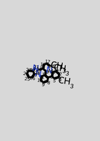 Cc1cc(C)cc(-c2cccc3c2c2nc(C)ccc2c2nc4ccccc4n32)c1